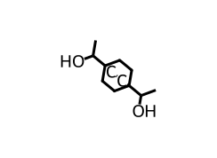 CC(O)C12CCC(C(C)O)(CC1)CC2